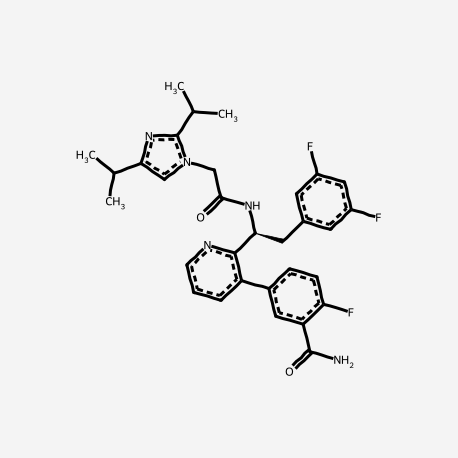 CC(C)c1cn(CC(=O)N[C@@H](Cc2cc(F)cc(F)c2)c2ncccc2-c2ccc(F)c(C(N)=O)c2)c(C(C)C)n1